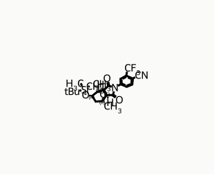 CC(C)(C)[Si](C)(C)O[C@@H]1C[C@@]2(C)O[C@]1(C)[C@@H]1C(=O)N(c3ccc(C#N)c(C(F)(F)F)c3)C(=O)[C@@H]12